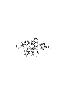 CC(=O)c1nn(CC(=O)N2[C@H](C(=O)NC(C)C(F)=C(C)C)C[C@@]3(C)C[C@@H]23)c2c(C)cc(-c3cnc(C)nc3)cc12